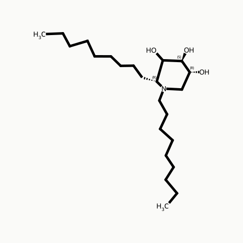 CCCCCCCCC[C@@H]1C(O)[C@@H](O)[C@H](O)CN1CCCCCCCCC